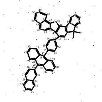 CC1(C)c2ccccc2-c2c1cc(-c1ccc(-c3c4ccccc4c(-c4ccc5ccccc5c4)c4ccccc34)cc1)c1c2sc2c3ccccc3ccc21